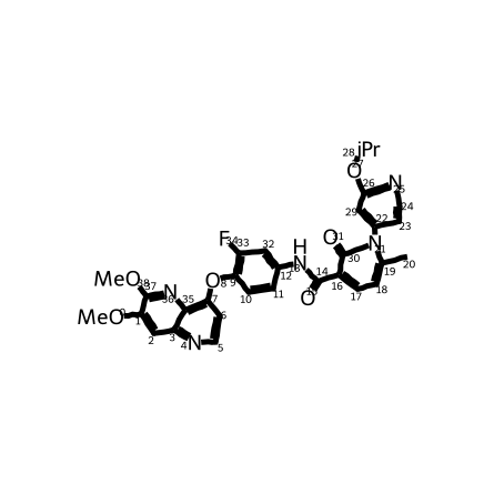 COc1cc2nccc(Oc3ccc(NC(=O)c4ccc(C)n(-c5ccnc(OC(C)C)c5)c4=O)cc3F)c2nc1OC